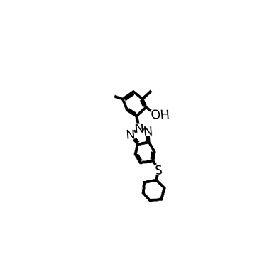 Cc1cc(C)c(O)c(-n2nc3ccc(SC4CCCCC4)cc3n2)c1